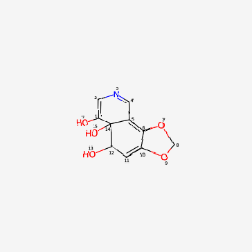 OC1=CN=CC2=C3OCOC3=CC(O)C12O